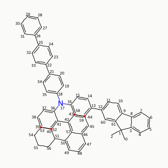 CC1(C)c2ccccc2-c2ccc(-c3ccc(N(c4ccc(-c5ccc(-c6ccccc6)cc5)cc4)c4ccccc4-c4cccc5cccc(C6CCCCC6)c45)cc3)cc21